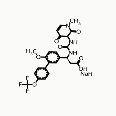 COc1ccc([C@H](CC(=O)O)NC(=O)NC2C(=O)C=CN(C)C2=O)cc1-c1ccc(OC(F)(F)F)cc1.[NaH]